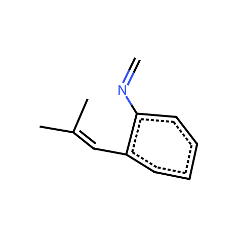 C=Nc1ccccc1C=C(C)C